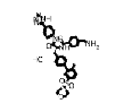 Cc1ccc(S(=O)(=O)N2CCOCC2)cc1-c1ccc(C[C@H](NC(=O)C2CCC(CN)CC2)C(=O)Nc2ccc(-c3nnn[nH]3)cc2)cc1.Cl